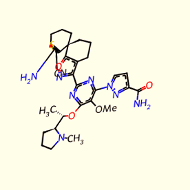 COc1c(O[C@@H](C)[C@@H]2CCCN2C)nc(-c2noc3c2CCC[C@@]32CCCc3sc(N)c(C#N)c32)nc1-n1ccc(C(N)=O)n1